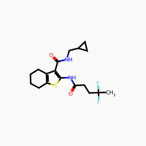 CC(F)(F)CCC(=O)Nc1sc2c(c1C(=O)NCC1CC1)CCCC2